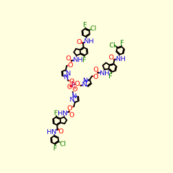 O=C(N[C@H]1CCc2c(C(=O)Nc3ccc(F)c(Cl)c3)ccc(F)c21)OCc1ccn(COP(=O)(OCn2ccc(COC(=O)N[C@H]3CCc4c(C(=O)Nc5ccc(F)c(Cl)c5)ccc(F)c43)n2)OCn2ccc(COC(=O)N[C@H]3CCc4c(C(=O)Nc5ccc(F)c(Cl)c5)ccc(F)c43)n2)n1